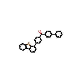 O=C(c1ccc(-c2ccccc2)cc1)c1ccc(-c2cccc3c2sc2ccccc23)cc1